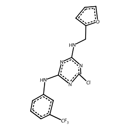 FC(F)(F)c1cccc(Nc2nc(Cl)nc(NCc3ccco3)n2)c1